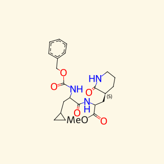 COC(=O)C(C[C@@H]1CCCNC1=O)NC(=O)C(CC1CC1)NC(=O)OCc1ccccc1